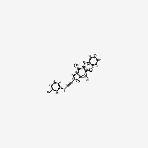 Cc1cccc(CC#Cc2cc3c(=O)n(Cc4ccccc4)c(=O)n(C)c3s2)c1